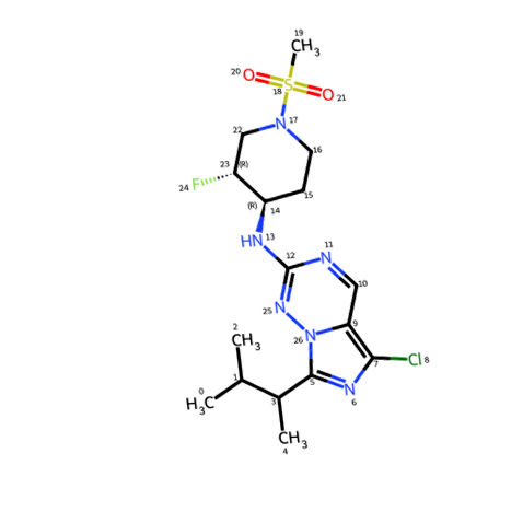 CC(C)C(C)c1nc(Cl)c2cnc(N[C@@H]3CCN(S(C)(=O)=O)C[C@H]3F)nn12